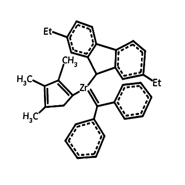 CCc1ccc2c(c1)[CH]([Zr]([C]1=C(C)C(C)=C(C)C1)=[C](c1ccccc1)c1ccccc1)c1cc(CC)ccc1-2